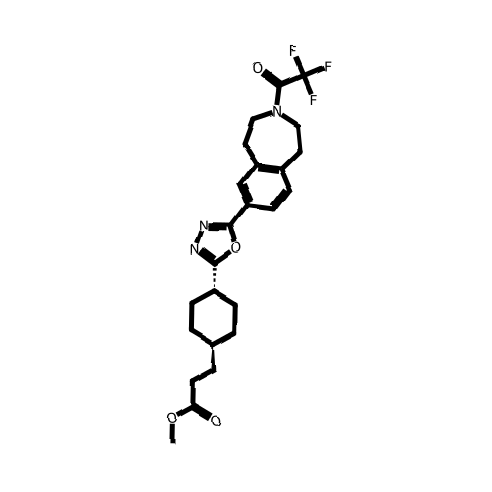 COC(=O)CC[C@H]1CC[C@H](c2nnc(-c3ccc4c(c3)CCN(C(=O)C(F)(F)F)CC4)o2)CC1